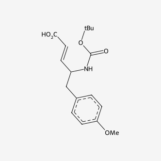 COc1ccc(CC(C=CC(=O)O)NC(=O)OC(C)(C)C)cc1